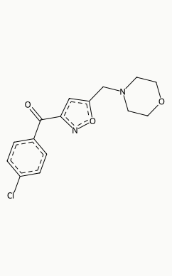 O=C(c1ccc(Cl)cc1)c1cc(CN2CCOCC2)on1